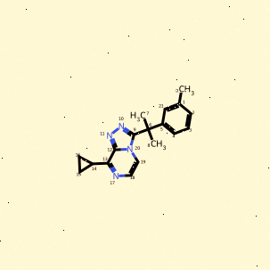 Cc1cccc(C(C)(C)c2nnc3c(C4CC4)nccn23)c1